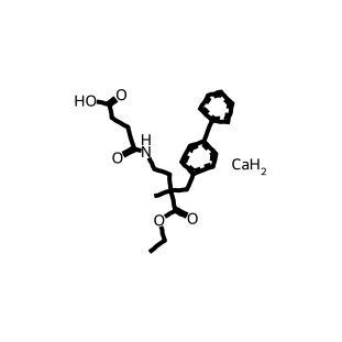 CCOC(=O)C(C)(CCNC(=O)CCC(=O)O)Cc1ccc(-c2ccccc2)cc1.[CaH2]